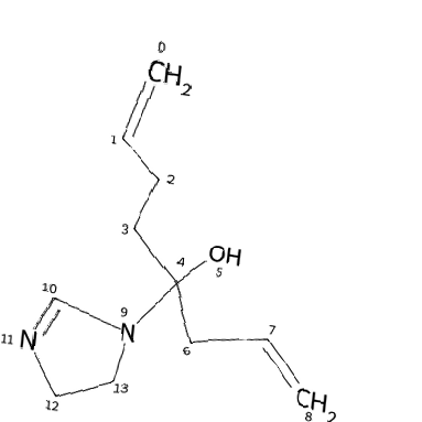 C=CCCC(O)(CC=C)N1C=NCC1